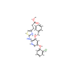 COC(=O)CCc1csc(Nc2ncc(Oc3ccccc3Cl)cc2OCc2ccccc2)n1